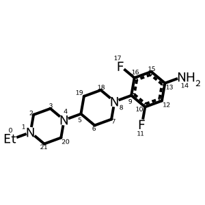 CCN1CCN(C2CCN(c3c(F)cc(N)cc3F)CC2)CC1